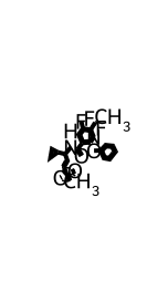 CC(F)(F)c1nc(Oc2ccccc2)c(C(=O)NC(C=CS(C)(=O)=O)C2CC2)cc1F